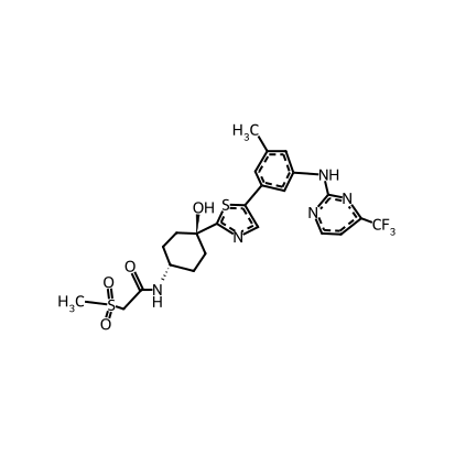 Cc1cc(Nc2nccc(C(F)(F)F)n2)cc(-c2cnc([C@]3(O)CC[C@H](NC(=O)CS(C)(=O)=O)CC3)s2)c1